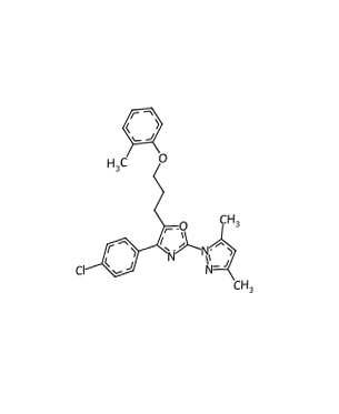 Cc1cc(C)n(-c2nc(-c3ccc(Cl)cc3)c(CCCOc3ccccc3C)o2)n1